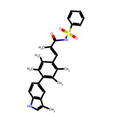 C/C(=C\c1c(C)c(C)c(-c2ccc3[nH]cc(C)c3c2)c(C)c1C)C(=O)NS(=O)(=O)c1ccccc1